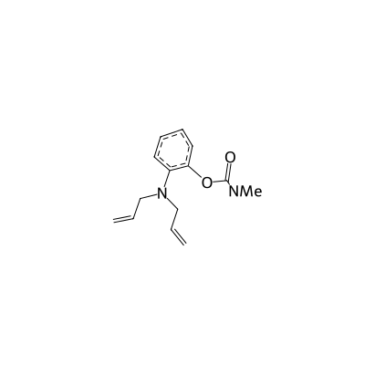 C=CCN(CC=C)c1ccccc1OC(=O)NC